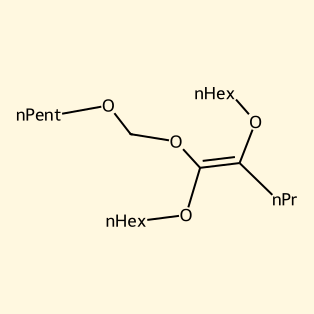 CCCCCCOC(CCC)=C(OCCCCCC)OCOCCCCC